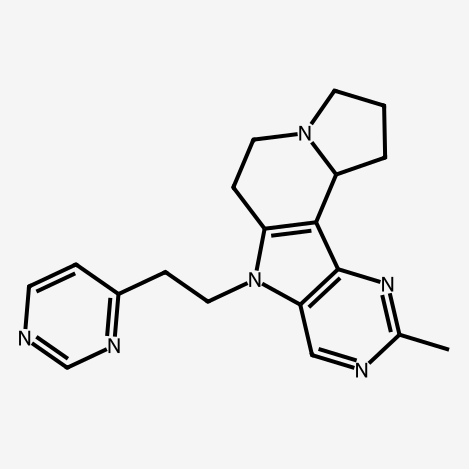 Cc1ncc2c(n1)c1c(n2CCc2ccncn2)CCN2CCCC12